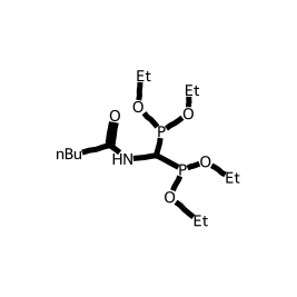 CCCCC(=O)NC(P(OCC)OCC)P(OCC)OCC